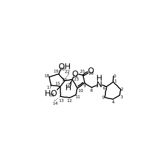 CC1CCCCC1NCC1=C2CC[C@H](C)C3(O)CCC(O)[C@@]3(C)[C@@H]2OC1=O